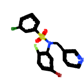 O=S(=O)(c1cccc(Cl)c1)N(Cc1cccnc1)c1cc(Br)ccc1F